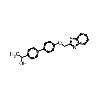 CC(O)c1ccc(-c2ccc(OCc3nc4ccccc4s3)cc2)cc1